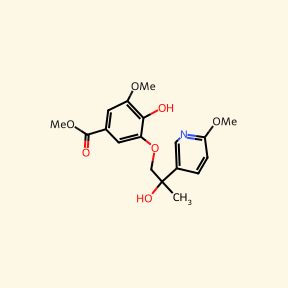 COC(=O)c1cc(OC)c(O)c(OCC(C)(O)c2ccc(OC)nc2)c1